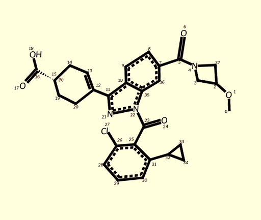 COC1CN(C(=O)c2ccc3c(C4=CC[C@@H](C(=O)O)CC4)nn(C(=O)c4c(Cl)cccc4C4CC4)c3c2)C1